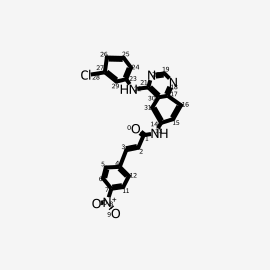 O=C(C=Cc1ccc([N+](=O)[O-])cc1)Nc1ccc2ncnc(Nc3cccc(Cl)c3)c2c1